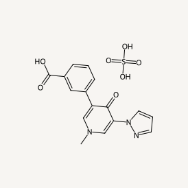 Cn1cc(-c2cccc(C(=O)O)c2)c(=O)c(-n2cccn2)c1.O=S(=O)(O)O